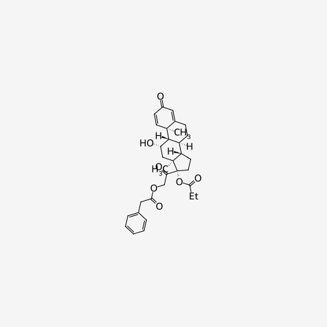 CCC(=O)O[C@@]1(C(=O)COC(=O)Cc2ccccc2)CC[C@H]2[C@@H]3CCC4=CC(=O)C=C[C@]4(C)[C@H]3[C@@H](O)C[C@@]21C